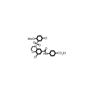 CCOC(=O)c1ccc(NC(=O)c2cc(Cl)c3c(c2)N(S(=O)(=O)c2cc(Cl)ccc2OC)CCO3)cc1